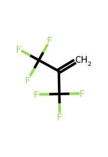 C=C(C(F)(F)F)C(F)(F)F